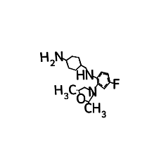 C[C@@H]1CN(c2cc(F)ccc2NCC2CCC(N)CC2)C[C@H](C)O1